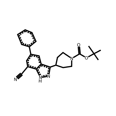 CC(C)(C)OC(=O)N1CCC(c2n[nH]c3c(C#N)cc(-c4ccccc4)cc23)CC1